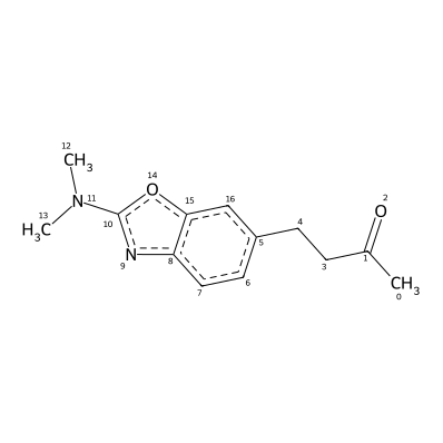 CC(=O)CCc1ccc2nc(N(C)C)oc2c1